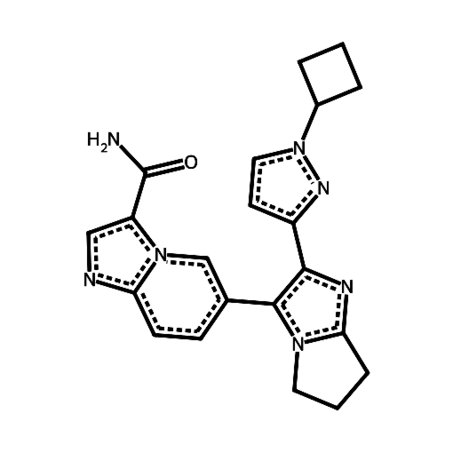 NC(=O)c1cnc2ccc(-c3c(-c4ccn(C5CCC5)n4)nc4n3CCC4)cn12